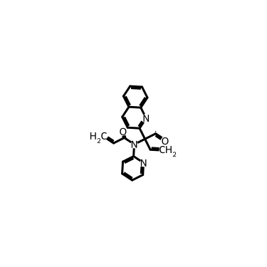 C=CC(=O)N(c1ccccn1)C([C]=O)(C=C)c1ccc2ccccc2n1